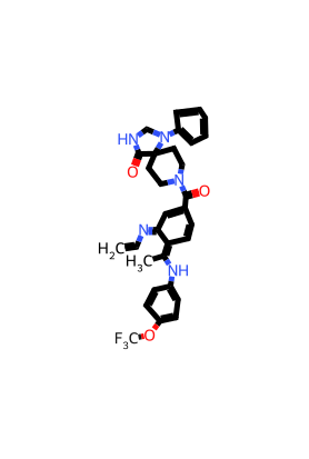 C=C/N=C1/C=C(C(=O)N2CCC3(CC2)C(=O)NCN3c2ccccc2)C=C/C1=C(/C)Nc1ccc(OC(F)(F)F)cc1